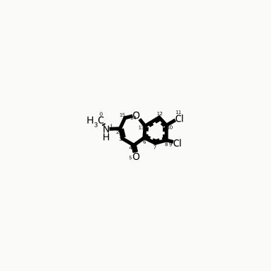 CNC1=CC(=O)c2cc(Cl)c(Cl)cc2OC1